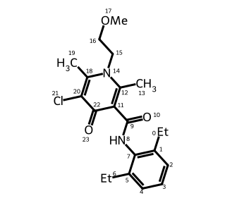 CCc1cccc(CC)c1NC(=O)c1c(C)n(CCOC)c(C)c(Cl)c1=O